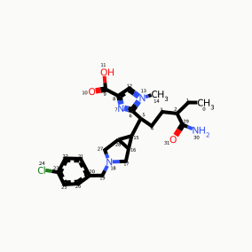 CCC(CCC(c1nc(C(=O)O)cn1C)C1C2CN(Cc3ccc(Cl)cc3)CC21)C(N)=O